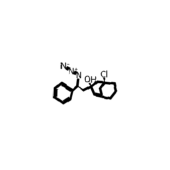 [N-]=[N+]=N[C@@H](C[C@@]1(O)C=C2CCC[C@](Cl)(C2)C1)c1ccccc1